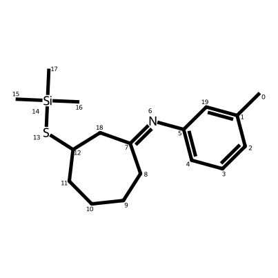 Cc1cccc(N=C2CCCCC(S[Si](C)(C)C)C2)c1